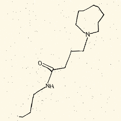 [CH2]CCNC(=O)CCCN1CCCCC1